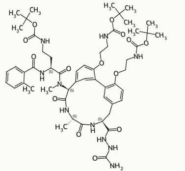 Cc1ccccc1C(=O)N[C@@H](CCNC(=O)OC(C)(C)C)C(=O)N(C)[C@@H]1C(=O)N[C@@H](C)C(=O)N[C@H](C(=O)NNC(N)=O)Cc2ccc(OCCNC(=O)OC(C)(C)C)c(c2)-c2cc1ccc2OCCNC(=O)OC(C)(C)C